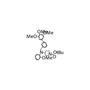 COc1ccccc1N(Cc1cccc(-c2cc(OC)c(OC)c(OC)c2)c1)C1CCN(C(=O)OC(C)(C)C)CC1